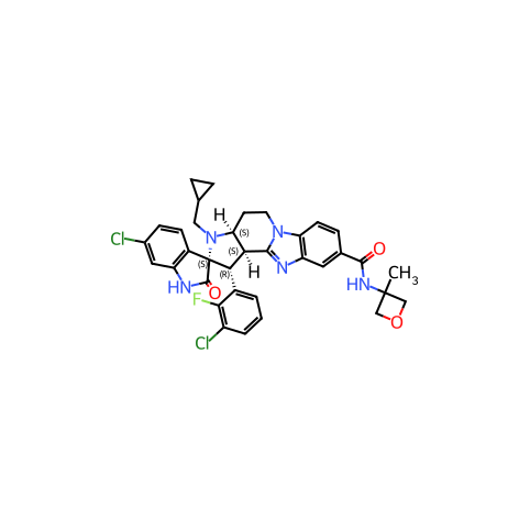 CC1(NC(=O)c2ccc3c(c2)nc2n3CC[C@H]3[C@@H]2[C@H](c2cccc(Cl)c2F)[C@]2(C(=O)Nc4cc(Cl)ccc42)N3CC2CC2)COC1